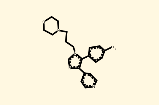 FC(F)(F)c1ccc(-c2c(-c3ccncc3)ncn2CCCN2CCOCC2)cc1